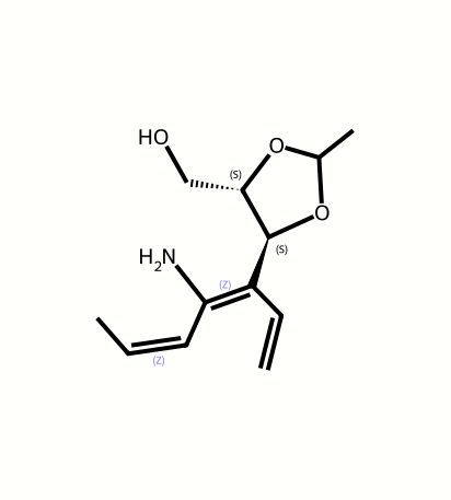 C=C/C(=C(N)\C=C/C)[C@@H]1OC(C)O[C@H]1CO